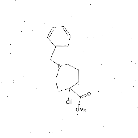 COC(=O)C1(O)CCCN(Cc2ccccc2)CC1